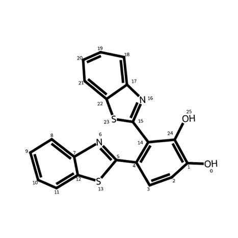 Oc1ccc(-c2nc3ccccc3s2)c(-c2nc3ccccc3s2)c1O